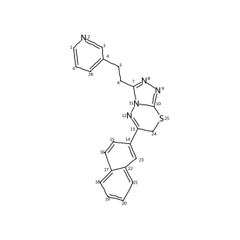 c1cncc(CCc2nnc3n2N=C(c2ccc4ccccc4c2)CS3)c1